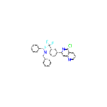 FC(F)(F)c1cc(-c2cc3ncccc3c(Cl)n2)ccc1N(Cc1ccccc1)Cc1ccccc1